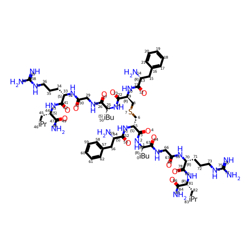 CC[C@@H](C)[C@@H](NC(=O)[C@@H](CSC[C@H](NC(=O)[C@H](N)Cc1ccccc1)C(=O)N[C@H](C(=O)NCC(=O)N[C@@H](CCCNC(=N)N)C(=O)N[C@@H](CC(C)C)C(N)=O)[C@@H](C)CC)NC(=O)[C@@H](N)Cc1ccccc1)C(=O)NCC(=O)N[C@H](CCCNC(=N)N)C(=O)N[C@H](CC(C)C)C(N)=O